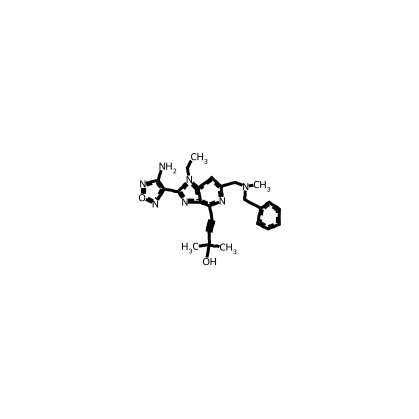 CCn1c(-c2nonc2N)nc2c(C#CC(C)(C)O)nc(CN(C)Cc3ccccc3)cc21